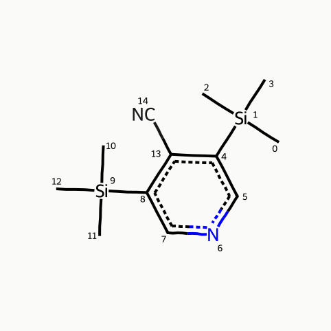 C[Si](C)(C)c1cncc([Si](C)(C)C)c1C#N